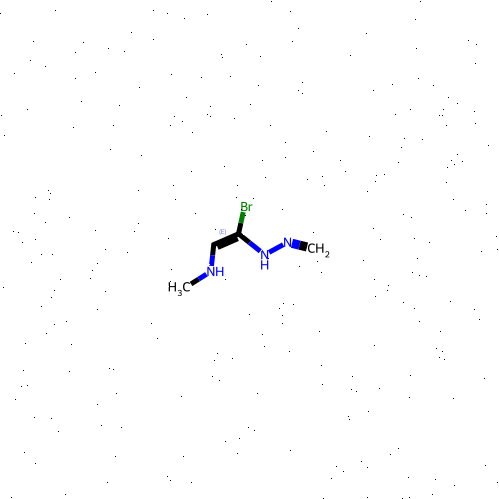 C=NN/C(Br)=C\NC